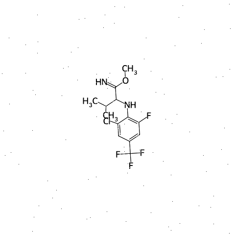 COC(=N)C(Nc1c(F)cc(C(F)(F)F)cc1Cl)C(C)C